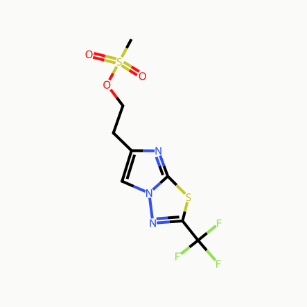 CS(=O)(=O)OCCc1cn2nc(C(F)(F)F)sc2n1